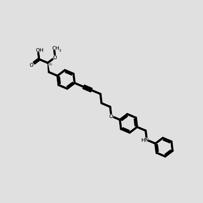 CO[C@@H](Cc1ccc(C#CCCCOc2ccc(CNc3ccccc3)cc2)cc1)C(=O)O